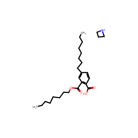 C1CNC1.CCCCCCCCOC(=O)c1cc(CCCCCCCC)ccc1C(=O)O